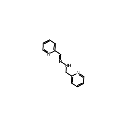 C(=N\NCc1ccccn1)/c1ccccn1